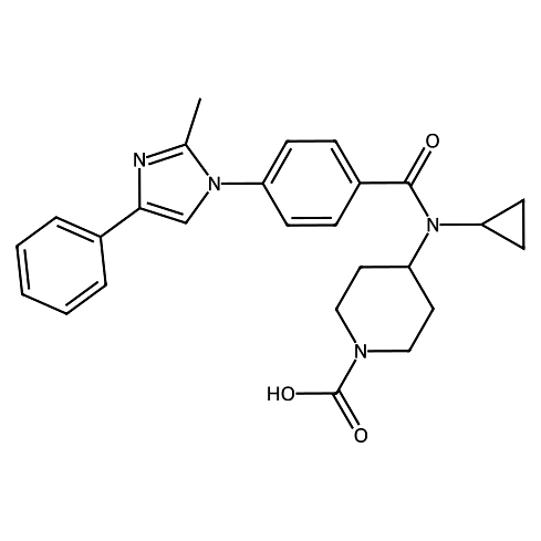 Cc1nc(-c2ccccc2)cn1-c1ccc(C(=O)N(C2CC2)C2CCN(C(=O)O)CC2)cc1